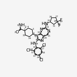 NC(=O)C1CCC(n2c(Nc3c(Cl)cc(Cl)cc3Cl)nc3cnc(N[C@H]4CCC(F)(F)C4)nc32)CC1